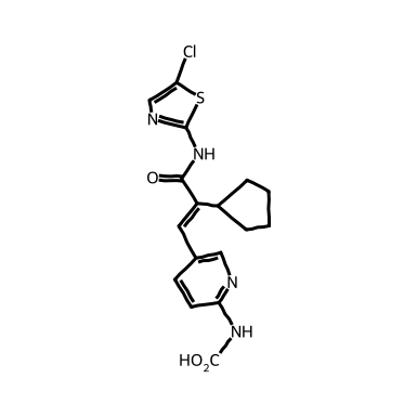 O=C(O)Nc1ccc(C=C(C(=O)Nc2ncc(Cl)s2)C2CCCC2)cn1